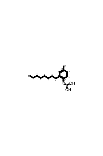 CCCCCCCCc1cc(C)ccc1OB(O)O